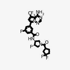 Nc1ncnn2c(-c3cc(F)cc(C(=O)N[C@@H]4CN(C(=O)C5CCC(F)(F)C5)C[C@@H]4F)c3)cc(C(F)(F)F)c12